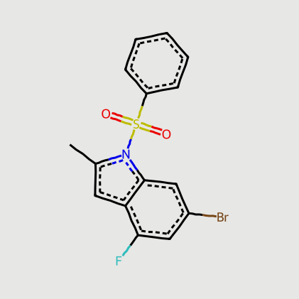 Cc1cc2c(F)cc(Br)cc2n1S(=O)(=O)c1ccccc1